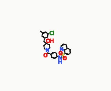 Cc1cc(Cl)cc(CC2(O)CCN(C(=O)c3ccc(NS(=O)(=O)c4cccc5cccnc45)cc3)CC2)c1